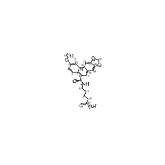 COc1ccc2c(C(=O)NCCCCC(=O)O)cc3cc4c(cc3c2c1)OCO4